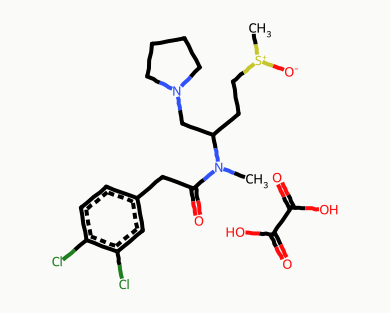 CN(C(=O)Cc1ccc(Cl)c(Cl)c1)C(CC[S+](C)[O-])CN1CCCC1.O=C(O)C(=O)O